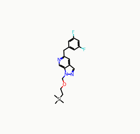 C[Si](C)(C)CCOCn1ncc2cc(Cc3cc(F)cc(F)c3)ncc21